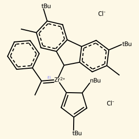 CCCCC1C=C(C(C)(C)C)C=[C]1/[Zr+2](=[C](\C)c1ccccc1)[CH]1c2cc(C)c(C(C)(C)C)cc2-c2cc(C(C)(C)C)c(C)cc21.[Cl-].[Cl-]